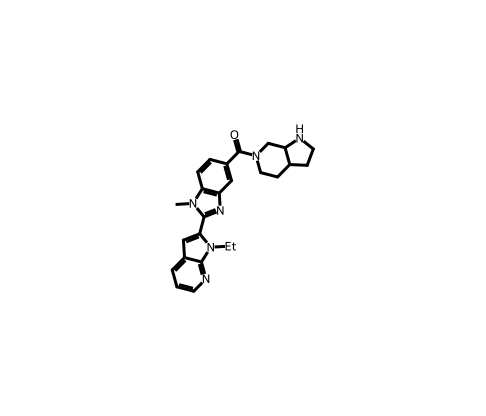 CCn1c(-c2nc3cc(C(=O)N4CCC5CCNC5C4)ccc3n2C)cc2cccnc21